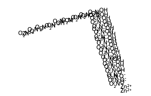 O=[N+]([O-])O.O=[N+]([O-])O.O=[N+]([O-])O.O=[N+]([O-])O.O=[N+]([O-])O.O=[N+]([O-])O.O=[N+]([O-])O.O=[N+]([O-])O.O=[N+]([O-])O.O=[N+]([O-])O.O=[N+]([O-])O.O=[N+]([O-])O.O=[N+]([O-])O.O=[N+]([O-])O.O=[N+]([O-])O.O=[N+]([O-])O.O=[N+]([O-])O.O=[N+]([O-])O.O=[N+]([O-])O.O=[N+]([O-])O.O=[N+]([O-])O.O=[N+]([O-])O.O=[N+]([O-])O.O=[N+]([O-])O.O=[N+]([O-])[O-].O=[N+]([O-])[O-].O=[N+]([O-])[O-].O=[N+]([O-])[O-].O=[N+]([O-])[O-].O=[N+]([O-])[O-].[Zn+2].[Zn+2].[Zn+2]